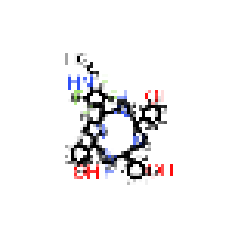 C#CCNc1c(F)c(F)c(-c2c3nc(c(-c4cccc(O)c4)c4ccc([nH]4)c(-c4cccc(O)c4)c4nc(c(-c5cccc(O)c5)c5ccc2[nH]5)C=C4)C=C3)c(F)c1F